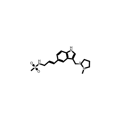 CN1CCC[C@@H]1Cc1c[nH]c2ccc(C=CCNS(C)(=O)=O)cc12